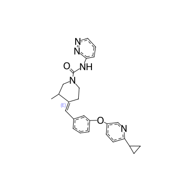 CC1CN(C(=O)Nc2cccnn2)CC/C1=C\c1cccc(Oc2ccc(C3CC3)nc2)c1